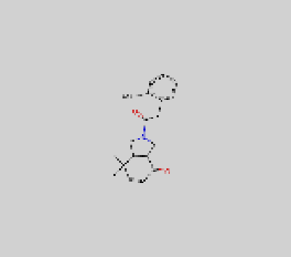 COc1ccccc1CC(=O)N1CC2C(=O)C=CC(C)(C)C2C1